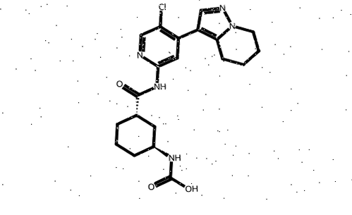 O=C(O)N[C@H]1CCC[C@H](C(=O)Nc2cc(-c3cnn4c3CCCC4)c(Cl)cn2)C1